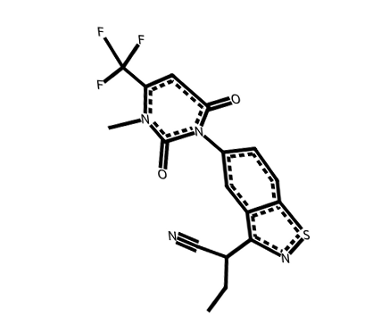 CCC(C#N)c1nsc2ccc(-n3c(=O)cc(C(F)(F)F)n(C)c3=O)cc12